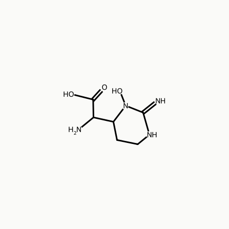 N=C1NCCC(C(N)C(=O)O)N1O